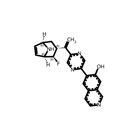 C=C(c1cnc(-c2cc3ccncc3cc2O)cn1)[C@H]1C[C@@H]2C=C[C@@H](N2)[C@@H]1F